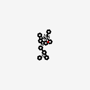 c1ccc(-c2nc(-c3ccccc3)nc(-n3c4ccccc4c4ccc5c(c6ccccc6n5-c5cccc(-c6ccc7c8ccccc8n(-c8ccccc8)c7c6)c5)c43)n2)cc1